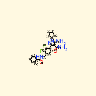 Cc1ccccc1C(=O)NCc1ccc(-c2nn(C3CCCC3)c(N)c2C(N)=O)c(F)c1F